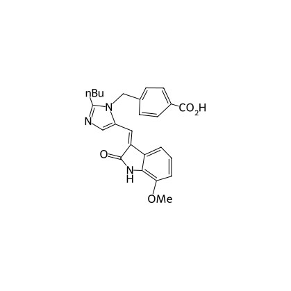 CCCCc1ncc(C=C2C(=O)Nc3c(OC)cccc32)n1Cc1ccc(C(=O)O)cc1